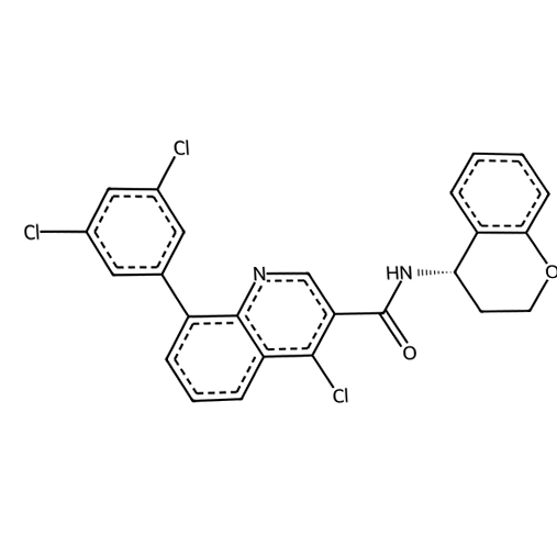 O=C(N[C@H]1CCOc2ccccc21)c1cnc2c(-c3cc(Cl)cc(Cl)c3)cccc2c1Cl